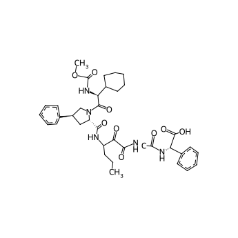 CCCC(NC(=O)[C@@H]1C[C@@H](c2ccccc2)CN1C(=O)[C@@H](NC(=O)OC)C1CCCCC1)C(=O)C(=O)NCC(=O)N[C@H](C(=O)O)c1ccccc1